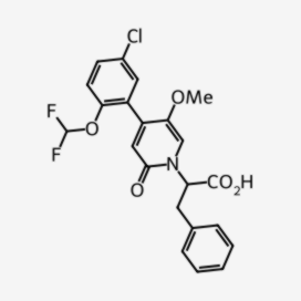 COc1cn(C(Cc2ccccc2)C(=O)O)c(=O)cc1-c1cc(Cl)ccc1OC(F)F